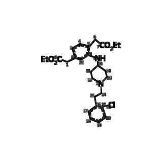 CCOC(=O)Cc1ccc(CC(=O)OCC)c(NC2CCN(CCc3ccccc3Cl)CC2)c1